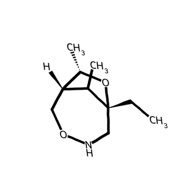 CC[C@@]12CNOC[C@@H](C1C)[C@H](C)O2